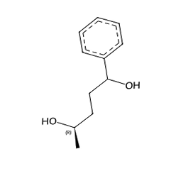 C[C@@H](O)CCC(O)c1ccccc1